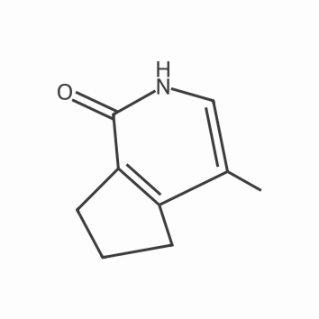 Cc1c[nH]c(=O)c2c1CCC2